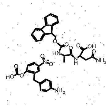 CC(NC(=O)OCC1c2ccccc2-c2ccccc21)C(=O)NC(CC(N)=O)C(=O)O.Nc1ccc(Cc2cc([N+](=O)[O-])ccc2OC(=O)O)cc1